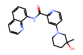 CC1(O)CCCN(c2ccnc(C(=O)Nc3cccc4cccnc34)c2)C1